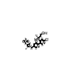 C[C@@H]1[C@H](CS(C)(=O)=O)CN1Cc1cnc(-c2cnc(Cl)cc2N[C@@H](C)CCO)c(F)c1